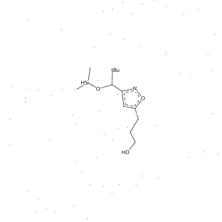 C[SiH](C)OC(c1cc(CCCO)on1)C(C)(C)C